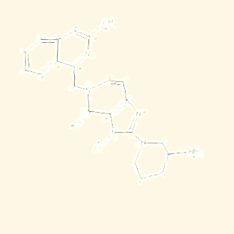 CCn1c(N2CCCC(N)C2)nc2ccn(Cc3nc(C)cc4ccccc34)c(=O)c21